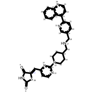 O=C1NC(=O)/C(=C/c2ccnc(N3CCC(CNCc4ccc(-c5ccnc6ccccc56)nc4)CC3)n2)S1